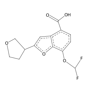 O=C(O)c1ccc(OC(F)F)c2oc(C3CCOC3)cc12